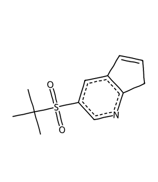 CC(C)(C)S(=O)(=O)c1cnc2c(c1)C=CC2